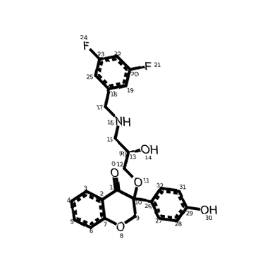 O=C1c2ccccc2OCC1(OC[C@H](O)CNCc1cc(F)cc(F)c1)c1ccc(O)cc1